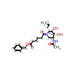 C=CC[C@@H]1[C@H](O)[C@H](O)[C@@H](NC(C)=O)CN1C(=O)CCCCC(=O)OCc1ccccc1